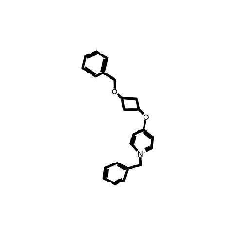 c1ccc(COC2CC(Oc3cc[n+](Cc4ccccc4)cc3)C2)cc1